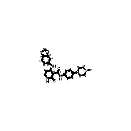 CN1CCN(c2ccc(NC(=O)c3c(Nc4ccc5nsnc5c4)cc[nH]c3=O)cc2)CC1